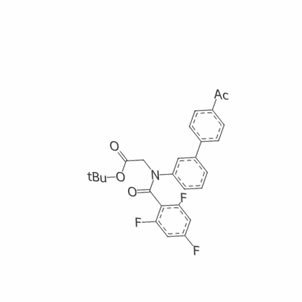 CC(=O)c1ccc(-c2cccc(N(CC(=O)OC(C)(C)C)C(=O)c3c(F)cc(F)cc3F)c2)cc1